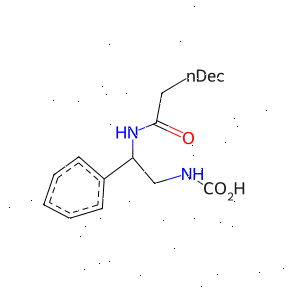 CCCCCCCCCCCC(=O)NC(CNC(=O)O)c1ccccc1